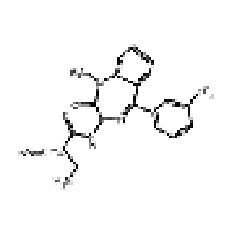 CCCCC[C@@H](CN)C(=O)NC1N=C(c2cccc(C(F)(F)F)c2)c2ccccc2N(C)C1=O